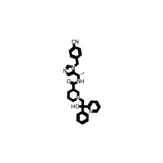 C[C@H](NC(=O)C1CCCN(CC(O)(c2ccccc2)c2ccccn2)C1)c1cncn1Cc1ccc(C#N)cc1